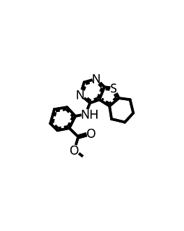 COC(=O)c1ccccc1Nc1ncnc2sc3c(c12)CCCC3